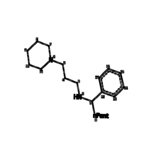 CCCCCC(NCCCN1CCCCC1)c1ccccc1